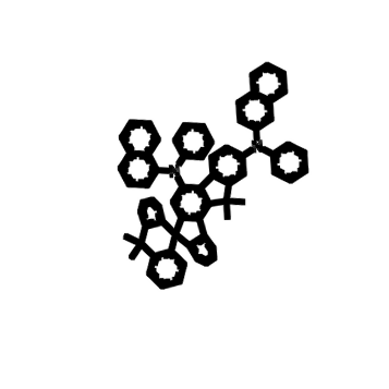 CC1(C)c2ccccc2C2(c3ccccc3-c3c2cc(N(c2ccccc2)c2cccc4ccccc24)c2c3C(C)(C)c3cc(N(c4ccccc4)c4ccc5ccccc5c4)ccc3-2)c2ccccc21